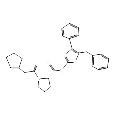 O=C(Nc1nc(-c2ccccc2)c(Cc2ccccc2)s1)[C@@H]1CCCN1C(=O)CC1CCCC1